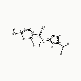 COc1ccc2c(c1)CCN(c1ccc(C(C)C)s1)C2=O